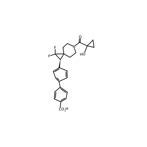 O=C(O)c1ccc(-c2ccc([C@H]3C(F)(F)C34CCN(C(=O)C3(O)CC3)CC4)cc2)cc1